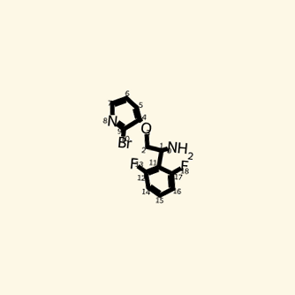 NC(COc1cccnc1Br)c1c(F)cccc1F